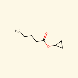 CCC[CH]C(=O)OC1CC1